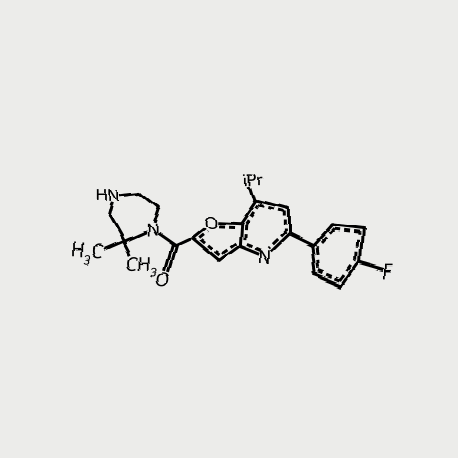 CC(C)c1cc(-c2ccc(F)cc2)nc2cc(C(=O)N3CCNCC3(C)C)oc12